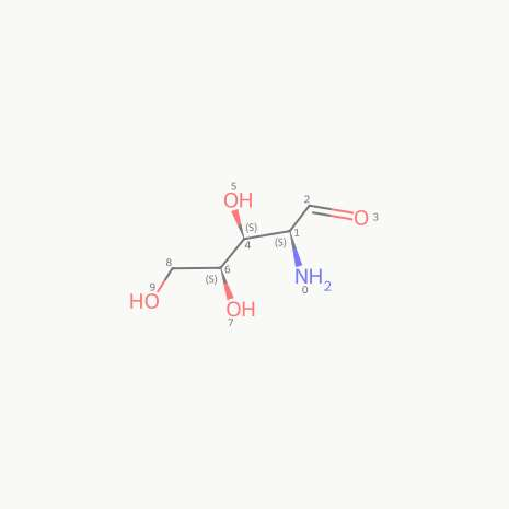 N[C@H](C=O)[C@H](O)[C@@H](O)CO